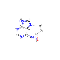 C=CC=O.Nc1ncnc2[nH]cnc12